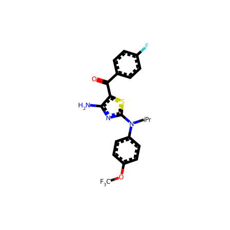 CC(C)N(c1ccc(OC(F)(F)F)cc1)c1nc(N)c(C(=O)c2ccc(F)cc2)s1